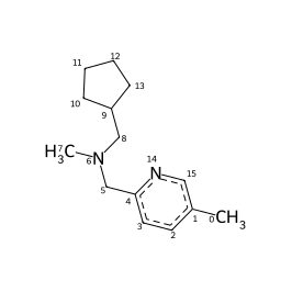 Cc1ccc(CN(C)CC2CCCC2)nc1